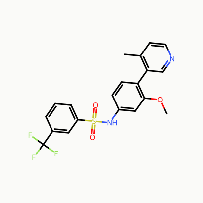 COc1cc(NS(=O)(=O)c2cccc(C(F)(F)F)c2)ccc1-c1cnccc1C